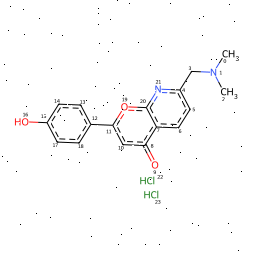 CN(C)Cc1ccc2c(=O)cc(-c3ccc(O)cc3)oc2n1.Cl.Cl